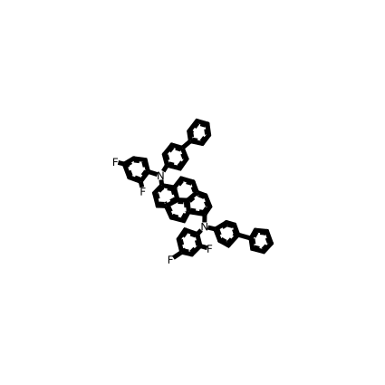 Fc1ccc(N(c2ccc(-c3ccccc3)cc2)c2ccc3ccc4c(N(c5ccc(-c6ccccc6)cc5)c5ccc(F)cc5F)ccc5ccc2c3c54)c(F)c1